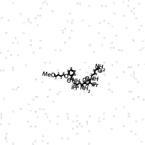 COCCCCOc1ccccc1C(=O)NCC(CC(N)C(O)CC(C(=O)NCCCC(N)=O)C(C)C)C(C)C